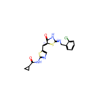 O=C1N/C(=N/Cc2ccccc2Cl)S/C1=C\c1cnc(NC(=O)C2CC2)s1